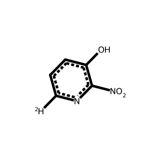 [2H]c1ccc(O)c([N+](=O)[O-])n1